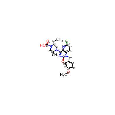 CC[C@H]1CN(c2nc(=O)n(Cc3ccc(OC)cc3)c3ccc(Cl)nc23)C(C)CN1C(=O)O